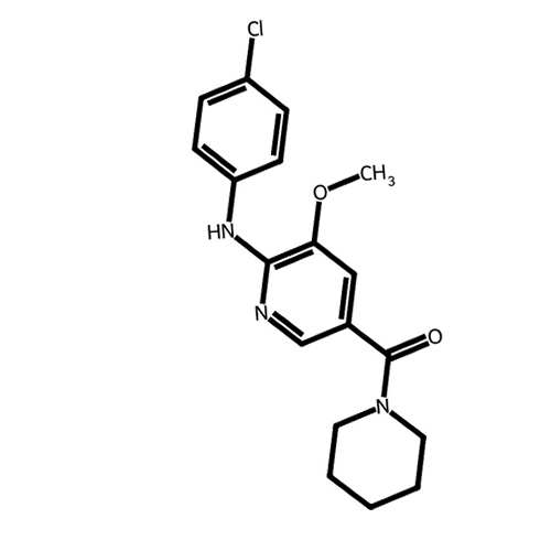 COc1cc(C(=O)N2CCCCC2)cnc1Nc1ccc(Cl)cc1